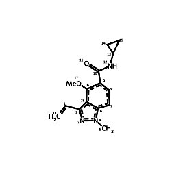 C=Cc1nn(C)c2ccc(C(=O)NC3CC3)c(OC)c12